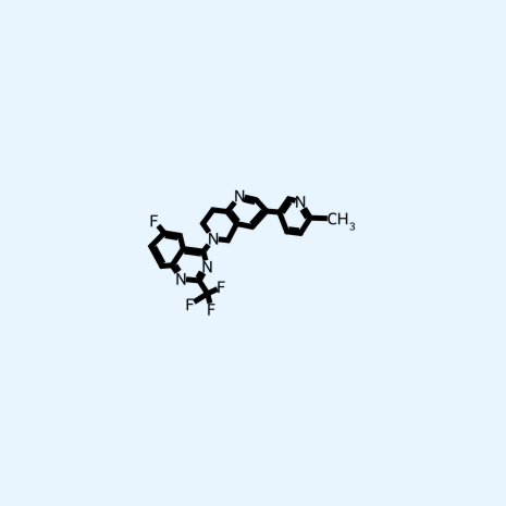 Cc1ccc(-c2cnc3c(c2)CN(c2nc(C(F)(F)F)nc4ccc(F)cc24)CC3)cn1